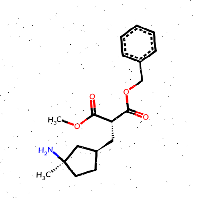 COC(=O)[C@@H](C[C@H]1CC[C@@](C)(N)C1)C(=O)OCc1ccccc1